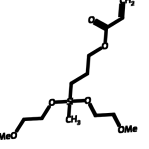 C=CC(=O)OCCC[Si](C)(OCCOC)OCCOC